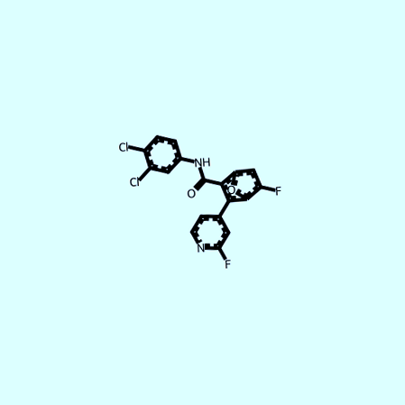 O=C(Nc1ccc(Cl)c(Cl)c1)c1c(-c2ccnc(F)c2)c2oc1cc2F